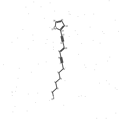 ICCCCCCC#CC=CC#Cc1ccco1